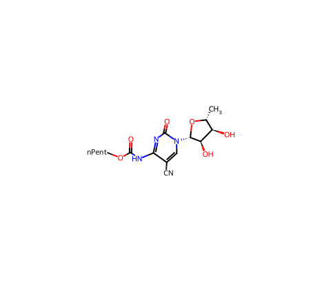 CCCCCOC(=O)Nc1nc(=O)n([C@@H]2O[C@H](C)[C@@H](O)[C@H]2O)cc1C#N